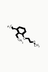 C=Cc1cccc(OCCOC)c1C=C